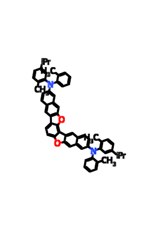 Cc1ccccc1N(c1ccc2cc3c(cc2c1)oc1c3ccc2oc3cc4cc(N(c5ccccc5C)c5cc(C(C)C)ccc5C)ccc4cc3c21)c1cc(C(C)C)ccc1C